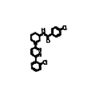 O=C(NC1CCCN(c2ccc(-c3ccccc3Cl)nn2)C1)c1ccc(Cl)cc1